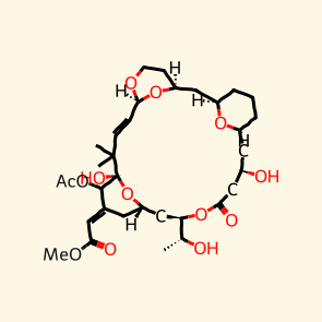 COC(=O)/C=C1\C[C@H]2C[C@H]([C@@H](C)O)OC(=O)C[C@H](O)C[C@@H]3CCC[C@H](C[C@@H]4CCO[C@H](/C=C/C(C)(C)[C@](O)(O2)C1OC(C)=O)O4)O3